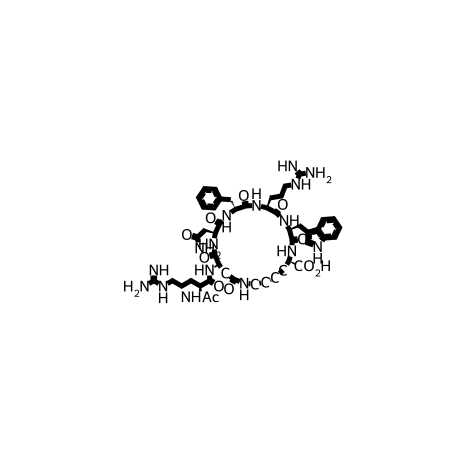 CC(=O)N[C@@H](CCCNC(=N)N)C(=O)N[C@H]1CC(=O)NCCCC[C@@H](C(=O)O)NC(=O)[C@H](Cc2c[nH]c3ccccc23)NC(=O)[C@H](CCCNC(=N)N)NC(=O)[C@@H](Cc2ccccc2)NC(=O)[C@H](CC(N)=O)NC1=O